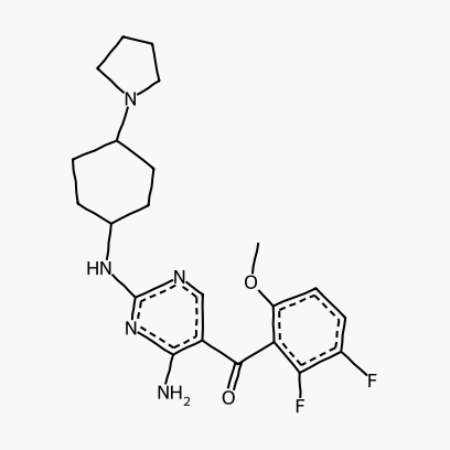 COc1ccc(F)c(F)c1C(=O)c1cnc(NC2CCC(N3CCCC3)CC2)nc1N